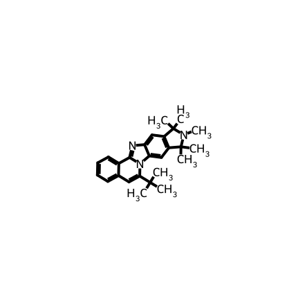 CN1C(C)(C)c2cc3nc4c5ccccc5cc(C(C)(C)C)n4c3cc2C1(C)C